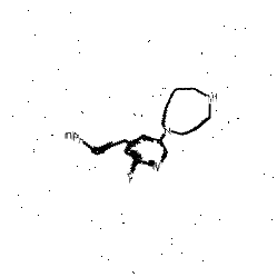 CCCC#Cc1cc(N2CCCNCC2)cnc1F